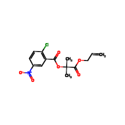 C=CCOC(=O)C(C)(C)OC(=O)c1cc([N+](=O)[O-])ccc1Cl